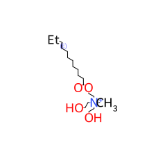 CC/C=C/CCCCCCCC(=O)OCC[N+](C)(CCO)CCO